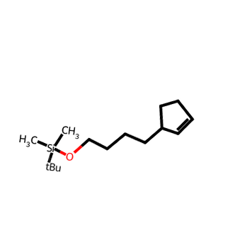 CC(C)(C)[Si](C)(C)OCCCCC1C=CCC1